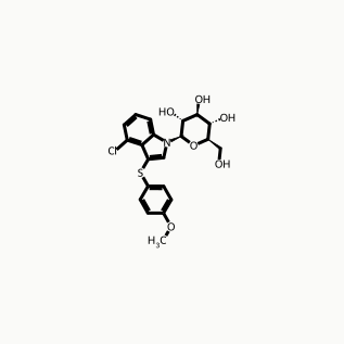 COc1ccc(Sc2cn([C@@H]3O[C@H](CO)[C@@H](O)[C@H](O)[C@H]3O)c3cccc(Cl)c23)cc1